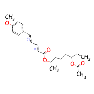 CCC(CCCC(C)OC(=O)/C=C/C=C/c1ccc(OC)cc1)OC(C)=O